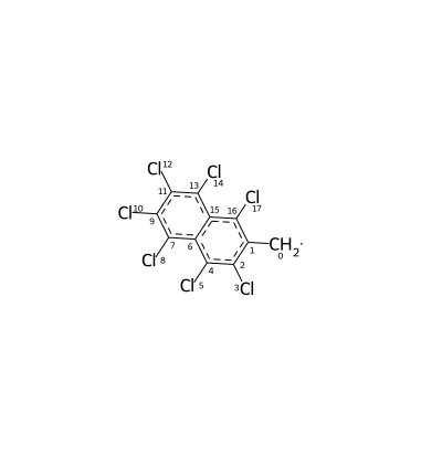 [CH2]c1c(Cl)c(Cl)c2c(Cl)c(Cl)c(Cl)c(Cl)c2c1Cl